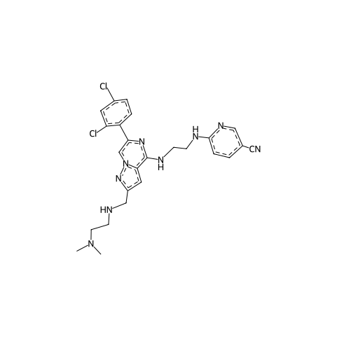 CN(C)CCNCc1cc2c(NCCNc3ccc(C#N)cn3)nc(-c3ccc(Cl)cc3Cl)cn2n1